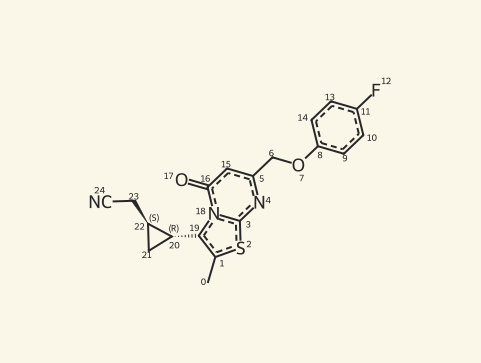 Cc1sc2nc(COc3ccc(F)cc3)cc(=O)n2c1[C@@H]1C[C@H]1CC#N